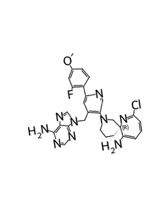 COc1ccc(-c2cc(Cn3cnc4c(N)ncnc43)c(N3CCC[C@]4(C3)N=C(Cl)C=CC=C4N)cn2)c(F)c1